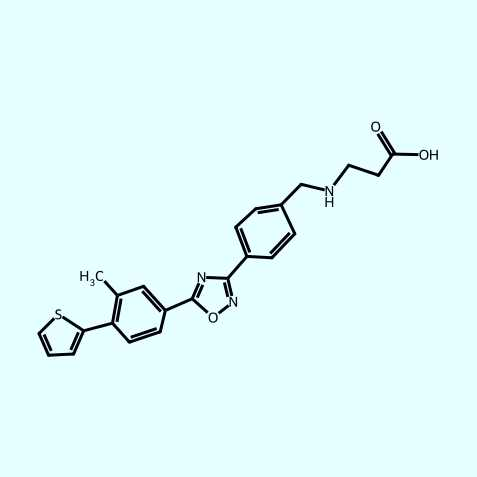 Cc1cc(-c2nc(-c3ccc(CNCCC(=O)O)cc3)no2)ccc1-c1cccs1